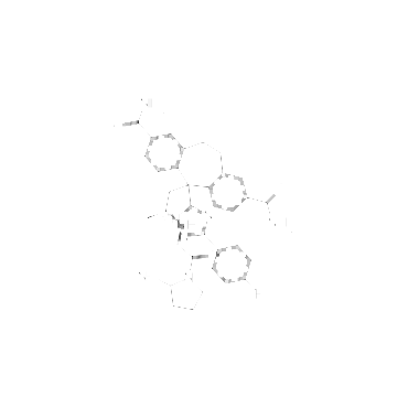 C[C@@H](CC1(c2nnc(-c3ccc(F)cc3)[nH]2)c2ccc(C(N)=O)cc2CCc2cc(C(N)=O)ccc21)NCC(=O)N1CCCC1C#N